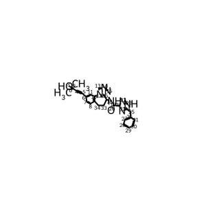 CC(C)(O)C#Cc1ccc2c(c1)-n1cnnc1C(NC(=O)c1n[nH]c(Cc3ccccc3)n1)CC2